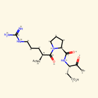 C[C](C)C(=O)[C@H](CC(=O)O)NC(=O)[C@@H]1CCCN1C(=O)[C@H](CCCNC(=N)N)NC(C)=O